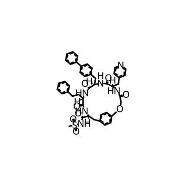 CS(=O)(=O)NC(=O)[C@@H]1Cc2ccc(cc2)OCC(=O)N[C@@H](Cc2ccncc2)C(=O)N[C@H](Cc2ccc(-c3ccccc3)cc2)C(=O)N[C@@H](CCc2ccccc2)C(=O)N1